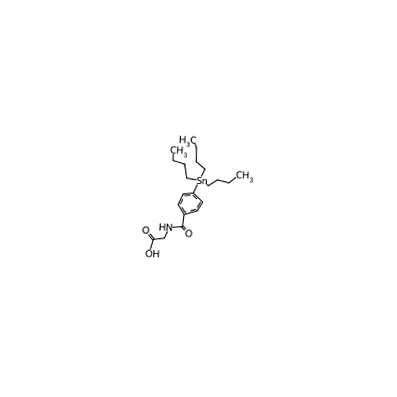 CCC[CH2][Sn]([CH2]CCC)([CH2]CCC)[c]1ccc(C(=O)NCC(=O)O)cc1